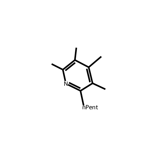 CCCCCc1nc(C)c(C)c(C)c1C